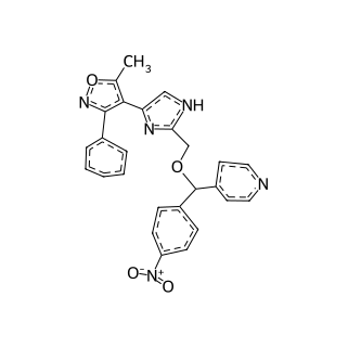 Cc1onc(-c2ccccc2)c1-c1c[nH]c(COC(c2ccncc2)c2ccc([N+](=O)[O-])cc2)n1